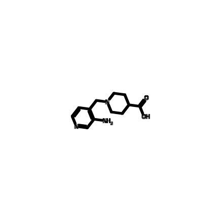 Nc1cnccc1CN1CCC(C(=O)O)CC1